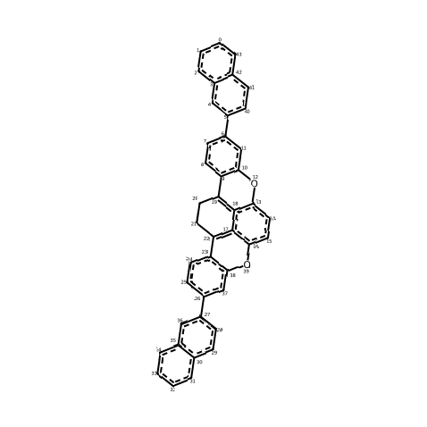 c1ccc2cc(-c3ccc4c(c3)Oc3ccc5c6c3=C4CCC=6c3ccc(-c4ccc6ccccc6c4)cc3O5)ccc2c1